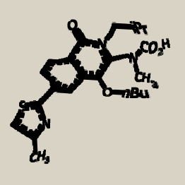 CCCCOc1c(N(C)C(=O)O)n(CC(C)C)c(=O)c2ccc(-c3nc(C)cs3)cc12